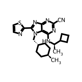 C[C@@H](Nc1nc(C#N)nc2nc(-c3nccs3)n(C[C@H]3CC[C@H](C)CC3)c12)C1CCC1